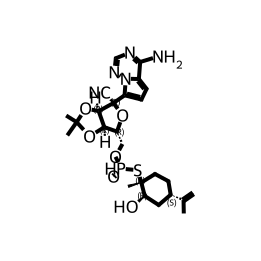 C=C(C)[C@H]1CC[C@@](C)(S[PH](=O)OC[C@H]2O[C@@](C#N)(c3ccc4c(N)ncnn34)[C@@H]3OC(C)(C)O[C@@H]32)[C@H](O)C1